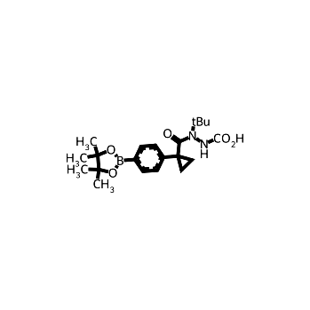 CC(C)(C)N(NC(=O)O)C(=O)C1(c2ccc(B3OC(C)(C)C(C)(C)O3)cc2)CC1